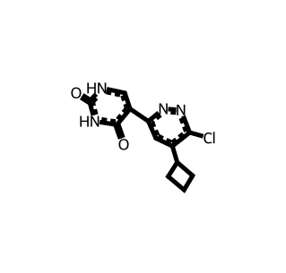 O=c1[nH]cc(-c2cc(C3CCC3)c(Cl)nn2)c(=O)[nH]1